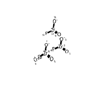 [Cr+3].[O]=[Zr]([O-])[F].[O]=[Zr]([O-])[F].[O]=[Zr]([O-])[F]